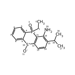 CCP1(=O)c2ccccc2[S+]([O-])c2ccc(C(C)C)c(N)c21